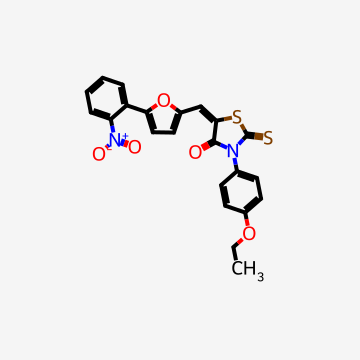 CCOc1ccc(N2C(=O)/C(=C\c3ccc(-c4ccccc4[N+](=O)[O-])o3)SC2=S)cc1